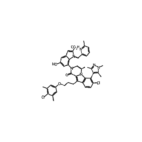 Cc1cccc(Cn2c(C(=O)O)cc3cc(O)cc(N4C[C@@H](C)n5c(c(CCCOc6cc(C)c(Cl)c(C)c6)c6ccc(Cl)c(-c7c(C)nn(C)c7C)c65)C4=O)c32)n1